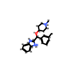 Cc1cccc(C(OC2CCN(C)CC2)c2nc3ccccc3[nH]2)c1